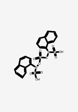 O=S(=O)(ON(c1cccc2ccccc12)S(=O)(=O)O)SN(c1cccc2ccccc12)S(=O)(=O)O